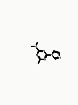 Cc1nc(N(C)C)nc(-n2ccnc2)n1